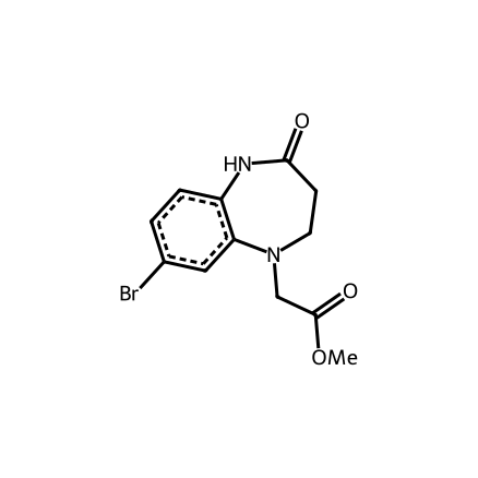 COC(=O)CN1CCC(=O)Nc2ccc(Br)cc21